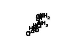 CC1Oc2ccc(C(N)CCCCNC(=O)c3ccc(Cl)cc3)cc2N=C1N.Cl.Cl